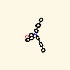 c1ccc(-c2ccc(-c3ccc(N(c4ccc(-c5ccc(-c6ccccc6)cc5)cc4)c4ccc5oc6cccc7ccc4c5c76)cc3)cc2)cc1